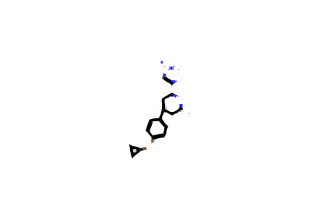 C[C@H]1C[C@@](O)(c2ccc(SC3CC3)cc2)C[C@@H](c2cn(C)nn2)N1